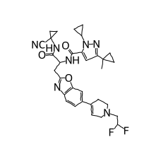 CC1(c2cc(C(=O)NC(Cc3nc4ccc(C5=CCN(CC(F)F)CC5)cc4o3)C(=O)NC3(C#N)CC3)n(C3CC3)n2)CC1